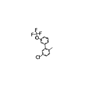 Cc1ccc(Cl)cc1-c1cccc(OC(F)(F)F)c1